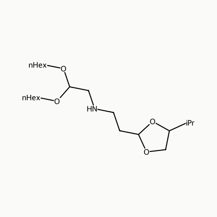 CCCCCCOC(CNCCC1OCC(C(C)C)O1)OCCCCCC